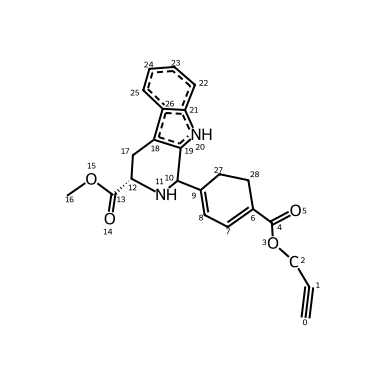 C#CCOC(=O)C1=CC=C(C2N[C@H](C(=O)OC)Cc3c2[nH]c2ccccc32)CC1